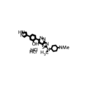 CNC1CCC(N(C)c2nc3nnc(-c4ccc(-c5cn[nH]c5)cc4O)cc3s2)CC1.Cl.Cl